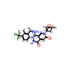 Cc1c([C@@H](C)Nc2nn(C)c(=O)c3cc(=O)n(C45COC(C)(C4)C5)cc23)cccc1C(F)(F)F